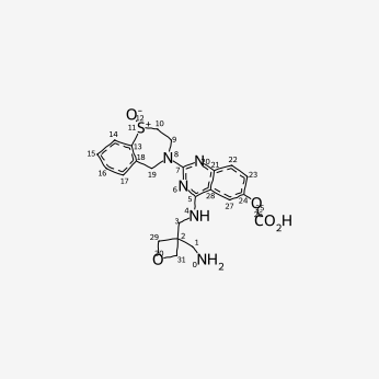 NCC1(CNc2nc(N3CC[S+]([O-])c4ccccc4C3)nc3ccc(OC(=O)O)cc23)COC1